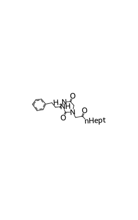 CCCCCCCC(=O)CN(CC(N)=O)C(=O)NCCc1ccccc1